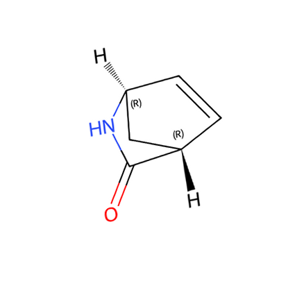 O=C1N[C@H]2C=C[C@H]1C2